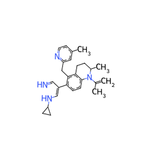 C=C(C)N1c2ccc(/C(C=N)=C/NC3CC3)c(Cc3cc(C)ccn3)c2CCC1C